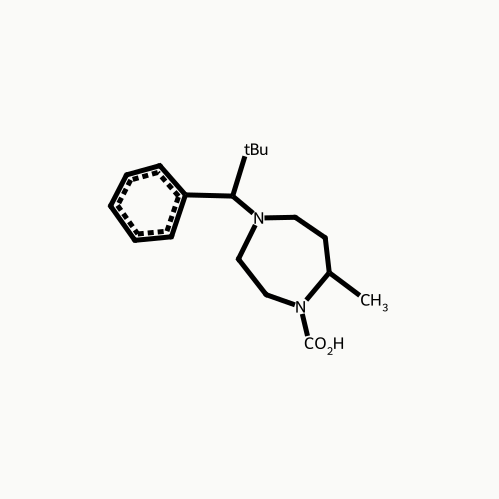 CC1CCN(C(c2ccccc2)C(C)(C)C)CCN1C(=O)O